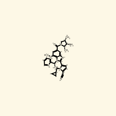 COc1cc(C(=O)N2C[C@@H](C)[C@@H](N)[C@H]2C)cc2nc(-c3ccc(C#N)n3CC3CC3)n([C@@H](C)c3ccccn3)c12